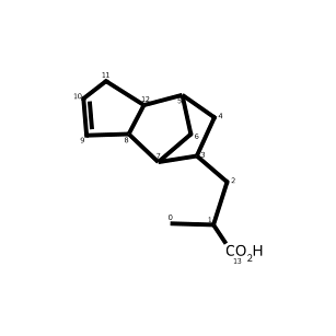 CC(CC1CC2CC1C1C=CCC21)C(=O)O